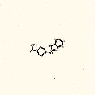 CC(C(=O)O)c1ccc(Nc2nc3ccccc3[nH]2)cc1